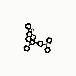 c1ccc(-c2cc(-c3ccc(N(c4ccccc4)c4ccccc4)cc3)c3ccc4c5oc6ccccc6c5cc5ccc2c3c54)cc1